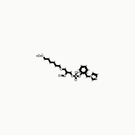 CCCCCCCCCCCCCCCCOCC(COP(=O)(O)Oc1ccccc1CN1C=CSC1)OCC